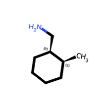 C[C@H]1CCCC[C@H]1CN